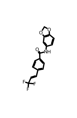 O=C(Nc1ccc2c(c1)OCO2)c1ccc(C=CC(F)(F)F)cc1